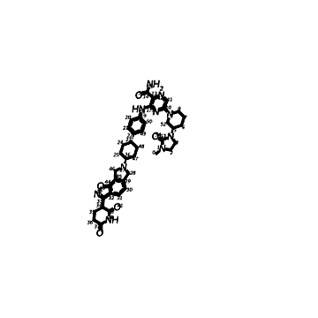 CN1CCN([C@@H]2CCCN(c3cnc(C(N)=O)c(Nc4ccc([C@H]5CC[C@H](N6Cc7ccc8c(C9CCC(=O)NC9=O)noc8c7C6)CC5)cc4)n3)C2)C1=O